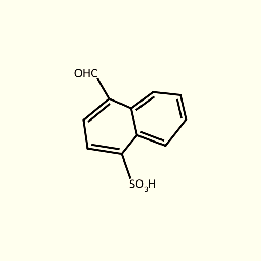 O=Cc1ccc(S(=O)(=O)O)c2ccccc12